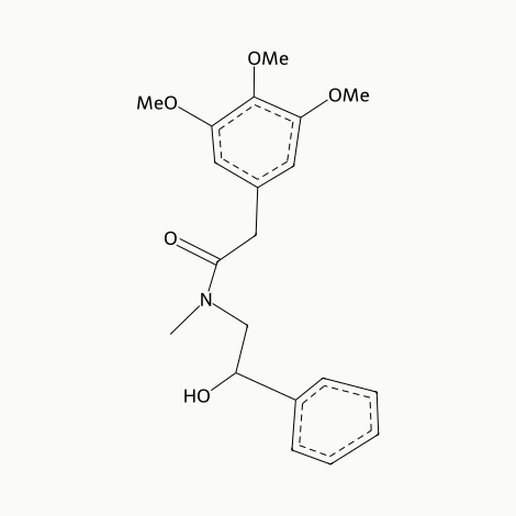 COc1cc(CC(=O)N(C)CC(O)c2ccccc2)cc(OC)c1OC